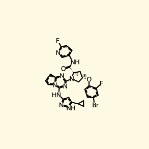 O=C(Nc1ccc(F)nc1)[C@@H]1C[C@H](Oc2ccc(Br)cc2F)CN1c1nc(Nc2cc(C3CC3)[nH]n2)n2cccc2n1